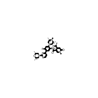 C[C@@H]1CN(c2nccc(-c3cc(NC(=O)c4cn(C)c(=O)cc4C(F)F)c(N4C[C@@H](C)N(C)[C@@H](C)C4)cc3F)n2)C[C@H](C)O1